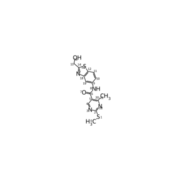 CSc1ncc(C(=O)Nc2ccc3sc(CO)nc3c2)c(C)n1